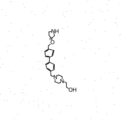 OCCN1CCN(Cc2ccc(-c3ccc(CO[C@@H]4CCNC4)cc3)cc2)CC1